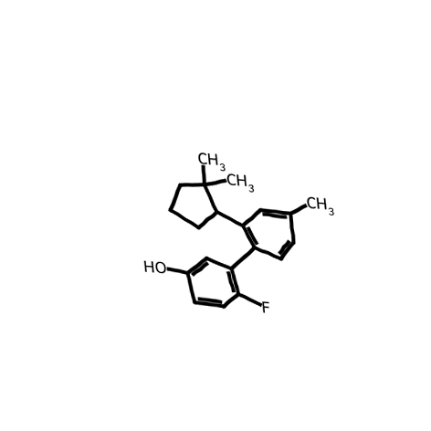 Cc1ccc(-c2cc(O)ccc2F)c(C2CCCC2(C)C)c1